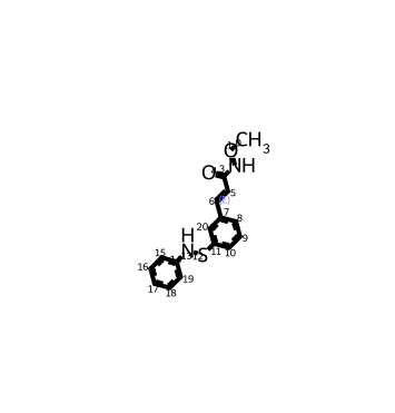 CONC(=O)/C=C/c1cccc(SNc2ccccc2)c1